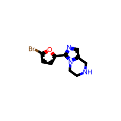 Brc1ccc(-c2ncc3n2CCNC3)o1